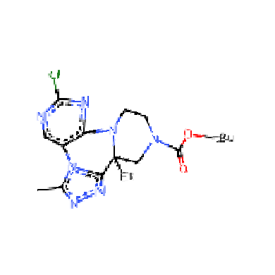 CCC12CN(C(=O)OC(C)(C)C)CCN1c1nc(Cl)ncc1-n1c(C)nnc12